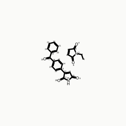 CCN1C(=O)C=CC1=O.O=C1C=C(c2ccc(C(=O)c3ccccc3)cc2)C(=O)N1